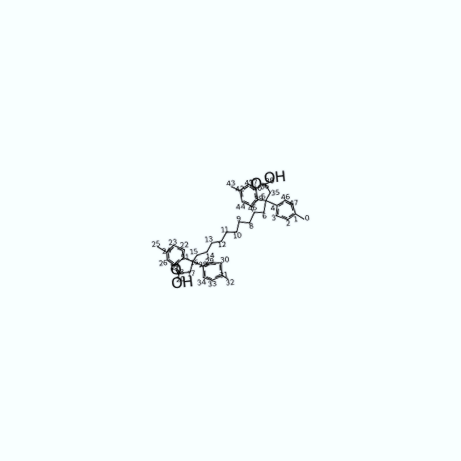 Cc1ccc(C(CCCCCCCCCCC(CC(=O)O)(c2ccc(C)cc2)c2ccc(C)cc2)(CC(=O)O)c2ccc(C)cc2)cc1